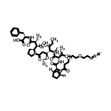 CC[C@H](C)[C@@H](C(CC(=O)N1CCC[C@H]1[C@H](OC)[C@@H](C)C(=O)N[C@@H](Cc1ccccc1)C(=O)O)OC)N(C)C(=O)[C@@H](NC(=O)[C@@H]1[C@H]2CC[C@H](C2)N1C(=O)CCOCCOCCN=[N+]=[N-])C(C)C